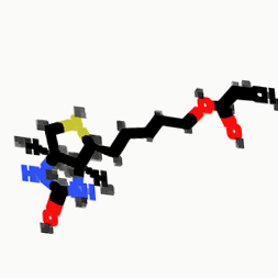 C=CC(=O)OCCCCC[C@@H]1SC[C@@H]2NC(=O)N[C@@H]21